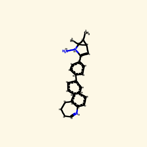 CC(C)C12C(C)C1C=C(c1ccc(-c3ccc4c5c(ccc4c3)N=CCCC5)cc1)N2N